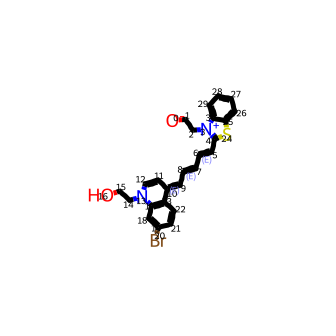 [O-]CC[n+]1c(/C=C/C=C/C=C2\C=CN(CCO)c3cc(Br)ccc32)sc2ccccc21